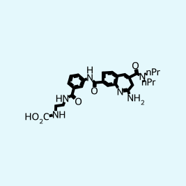 CCCN(CCC)C(=O)C1=Cc2ccc(C(=O)Nc3cccc(C(=O)NCCNC(=O)O)c3)cc2N=C(N)C1